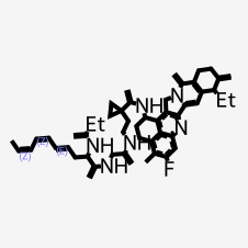 C=C(CNC(=C)C(C/C=C/C=C\C=C/C)NC(=C)CC)NCCC1(C(=C)NC2CCc3c(C)c(F)cc4nc5c(c2c34)CN2C(=C)C3=C(C=C52)C(CC)C(=C)CC3)CC1